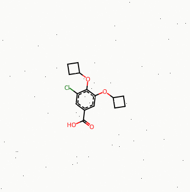 O=C(O)c1cc(Cl)c(OC2CCC2)c(OC2CCC2)c1